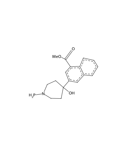 COC(=O)c1cc(C2(O)CCN(P)CC2)cc2ccccc12